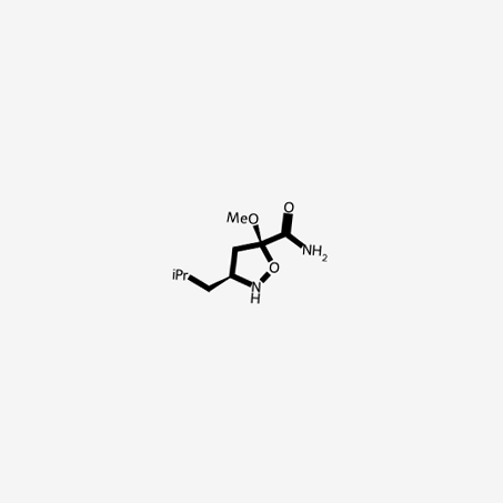 CO[C@]1(C(N)=O)C[C@H](CC(C)C)NO1